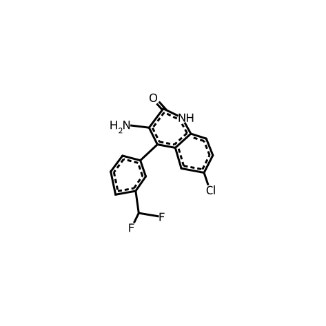 Nc1c(-c2cccc(C(F)F)c2)c2cc(Cl)ccc2[nH]c1=O